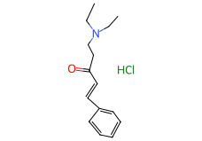 CCN(CC)CCC(=O)/C=C/c1ccccc1.Cl